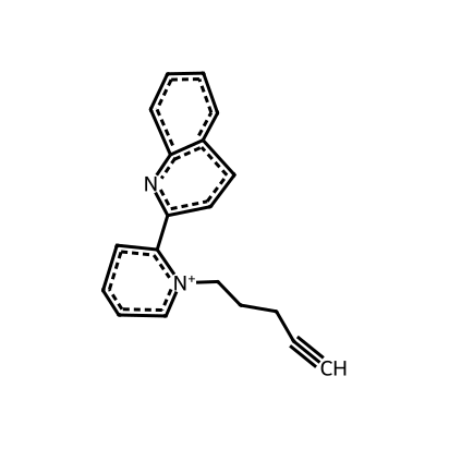 C#CCCC[n+]1ccccc1-c1ccc2ccccc2n1